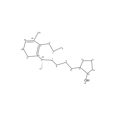 CCCC1=C([C@@H](C)CCCCC2CCCC2O)CCC=C1C